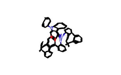 CC1(C)c2ccccc2-c2c(-c3ccccc3N(c3cccc4c3C(C)(C)c3ccccc3-4)c3cccc4c3c3ccccc3n4-c3ccccc3)cccc21